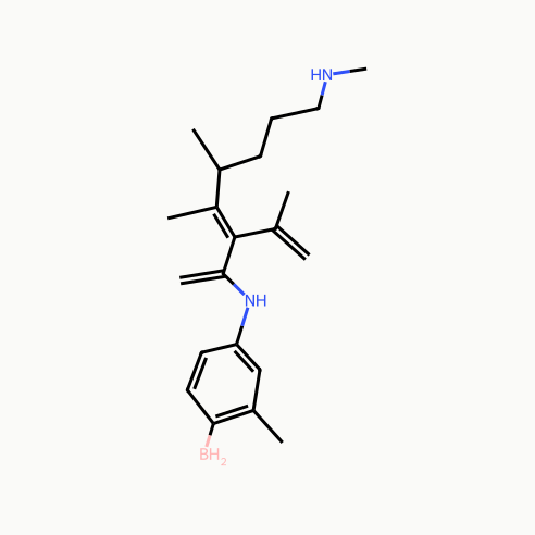 Bc1ccc(NC(=C)/C(C(=C)C)=C(\C)C(C)CCCNC)cc1C